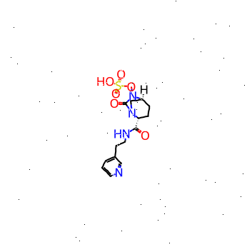 O=C(NCCc1cccnc1)[C@H]1CC[C@H]2CN1C(=O)N2OS(=O)(=O)O